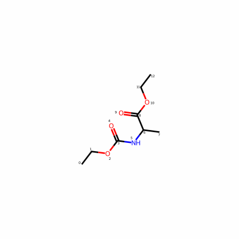 CCOC(=O)NC(C)C(=O)OCC